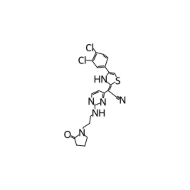 N#CC(=C1NC(c2ccc(Cl)c(Cl)c2)=CS1)c1ccnc(NCCCN2CCCC2=O)n1